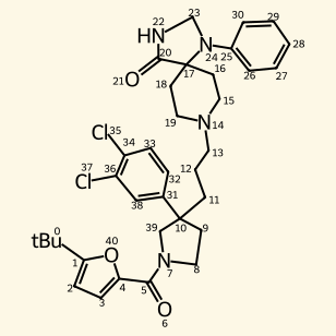 CC(C)(C)c1ccc(C(=O)N2CCC(CCCN3CCC4(CC3)C(=O)NCN4c3ccccc3)(c3ccc(Cl)c(Cl)c3)C2)o1